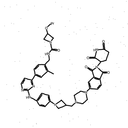 Cc1cc(-c2ccnc(Nc3ccc(N4CC(CN5CCN(c6ccc7c(c6)C(=O)N(C6CCC(=O)NC6=O)C7=O)CC5)C4)cc3)n2)ccc1CNC(=O)N1CC(OC(C)C)C1